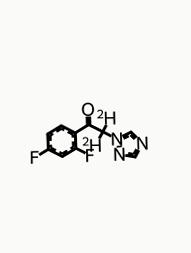 [2H]C([2H])(C(=O)c1ccc(F)cc1F)n1cncn1